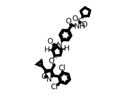 O=C(NS(=O)(=O)C1CCCC1)c1ccc(N2C(=O)[C@@H]3C[C@H]2C[C@H]3OCc2c(-c3c(Cl)cccc3Cl)noc2C2CC2)cc1